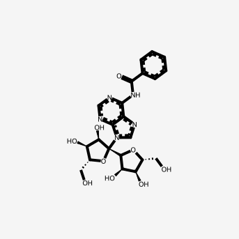 O=C(Nc1ncnc2c1ncn2[C@]1(C2O[C@H](CO)[C@@H](O)[C@H]2O)O[C@H](CO)[C@@H](O)[C@H]1O)c1ccccc1